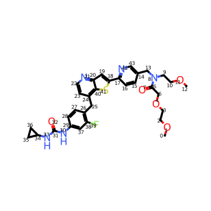 COCCOCC(=O)N(CCOC)Cc1ccc(-c2cc3nccc(Cc4ccc(NC(=O)NC5CC5)cc4F)c3s2)nc1